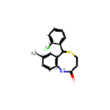 O=C1CCSC(c2ccccc2Cl)c2cc([N+](=O)[O-])ccc2N1